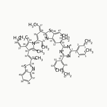 C=C/C=C(\C=C/C)c1nc(C(=C)/C=c2/nc(C(=C/C)/C=C(\C=C)n3c(C)c(/C=C\C)c(/C=C(\C)c4nc5ccccc5s4)c3C)s/c2=C/C)nc(C(/C=C\C)=C/C=C)n1